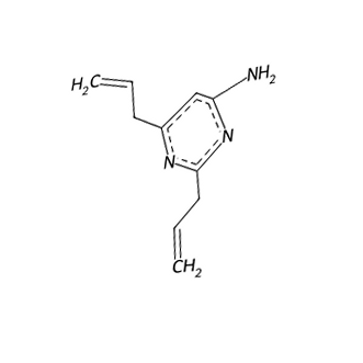 C=CCc1cc(N)nc(CC=C)n1